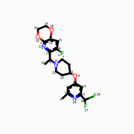 Cc1cc(OC2CCN(C(C)c3nc4c(cc3F)OCCO4)CC2)cc(C(F)F)n1